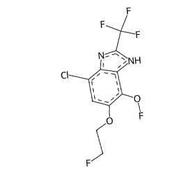 FCCOc1cc(Cl)c2nc(C(F)(F)F)[nH]c2c1OF